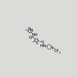 Cc1cc(NC(=O)c2cc(C3CC3NC3CCN(CC(F)(F)F)CC3)sc2C)no1